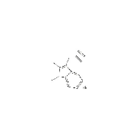 C=C.C=C.CC1=C(C)C(C)c2ccccc21.[Rh]